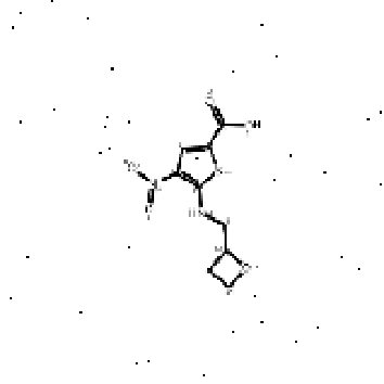 O=C(O)c1cc([N+](=O)[O-])c(NC[C@@H]2CCO2)s1